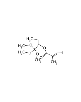 CCC(OC(=O)C(C)=CI)[Si](OC)(OC)OC